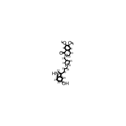 COc1cc2c(cc1OC)C(=O)N(CC1CCN(CCCc3c[nH]c4ccc(O)cc34)C1)CC2